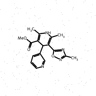 COC(=O)C1=C(C)NC(C)=C(c2nc(C)no2)C1c1cccnc1